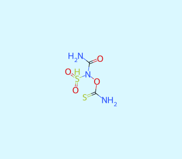 NC(=O)N(OC(N)=S)[SH](=O)=O